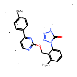 COc1ccc(-c2ccnc(OCc3c(C)cccc3-n3nn[nH]c3=O)n2)cc1